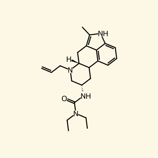 C=CCN1C[C@@H](NC(=O)N(CC)CC)CC2c3cccc4[nH]c(C)c(c34)C[C@H]21